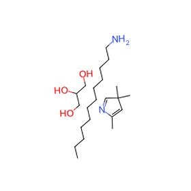 CC1=CC(C)(C)C=N1.CCCCCCCCCCCCN.OCC(O)CO